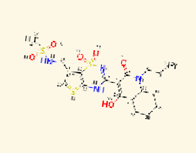 CC(C)CCN1C(=O)C(C2=NS(=O)(=O)c3c(CNS(C)(=O)=O)csc3N2)=C(O)C2CCCCC21